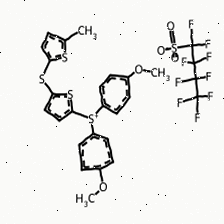 COc1ccc([S+](c2ccc(OC)cc2)c2ccc(Sc3ccc(C)s3)s2)cc1.O=S(=O)([O-])C(F)(F)C(F)(F)C(F)(F)C(F)(F)F